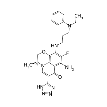 CCN(CCCNc1c(F)c(N)c2c(=O)c(-c3nnn[nH]3)cn3c2c1OC[C@@H]3C)c1ccccc1